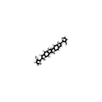 Fc1ccsc1-c1cc2cc3sc4c5cc6sc(-c7sccc7F)cc6cc5sc4c3cc2s1